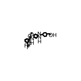 COc1cc2nc(C3CCC(CO)CC3)[nH]c2cc1NC(=O)c1cccc(C(F)(F)F)n1